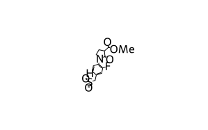 COC(=O)C1CCN(c2ccc(C[SH](=O)=O)cc2F)C1=O